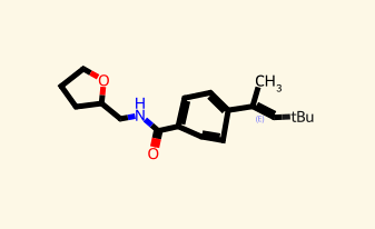 C/C(=C\C(C)(C)C)c1ccc(C(=O)NCC2CCCO2)cc1